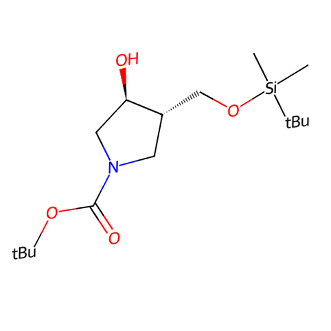 CC(C)(C)OC(=O)N1C[C@@H](CO[Si](C)(C)C(C)(C)C)[C@H](O)C1